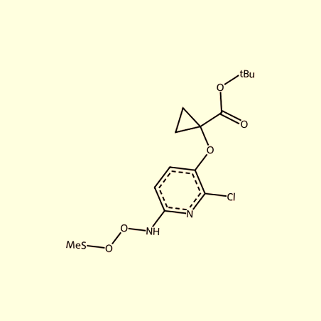 CSOONc1ccc(OC2(C(=O)OC(C)(C)C)CC2)c(Cl)n1